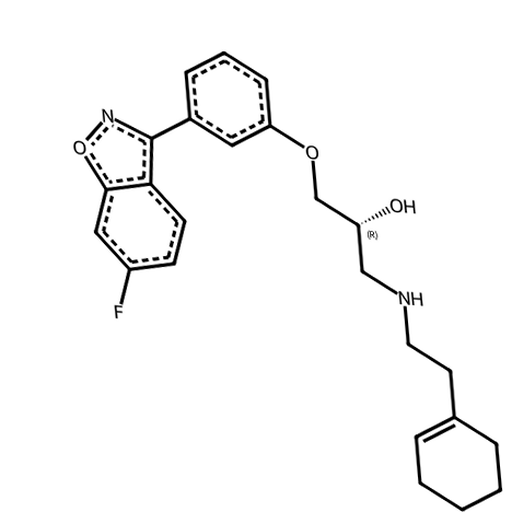 O[C@H](CNCCC1=CCCCC1)COc1cccc(-c2noc3cc(F)ccc23)c1